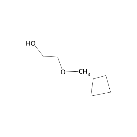 C1CCC1.COCCO